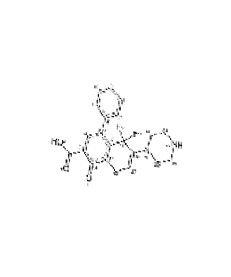 O=C(O)c1cn(-c2ccccc2)c2c(c1=O)CC=C(N1CCNCC1)C2(F)F